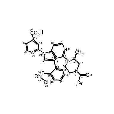 CC(C)C(=O)N1CCN(c2nccc3c2c(-c2ccccc2F)cn3-c2cc(C(=O)O)ccn2)[C@@H](C)C1.O=NO